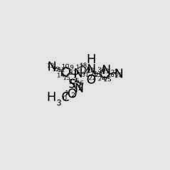 CCOc1ncc(C(c2ccc(C#N)cc2)N2CCC(NC(=O)c3ccc(C#N)nc3)C2)s1